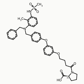 Cc1c(NS(C)(=O)=O)cccc1N(Cc1ccccc1)Cc1ccc(Oc2cccc(OCCCC(=O)N3CCC[C@H]3C(=O)O)c2)cc1